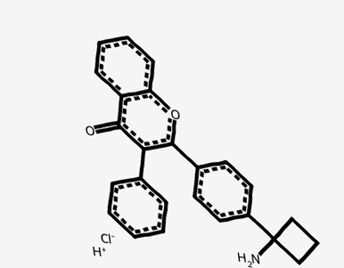 NC1(c2ccc(-c3oc4ccccc4c(=O)c3-c3ccccc3)cc2)CCC1.[Cl-].[H+]